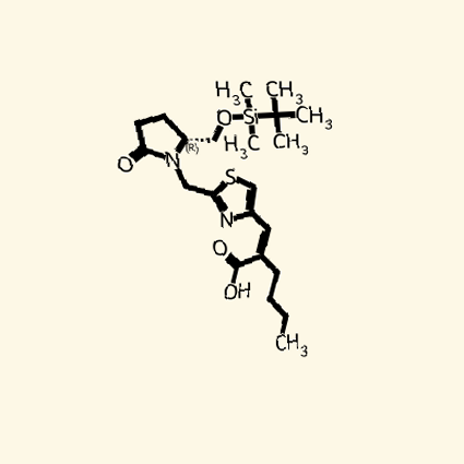 CCCCC(=Cc1csc(CN2C(=O)CC[C@@H]2CO[Si](C)(C)C(C)(C)C)n1)C(=O)O